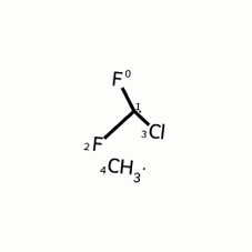 F[C](F)Cl.[CH3]